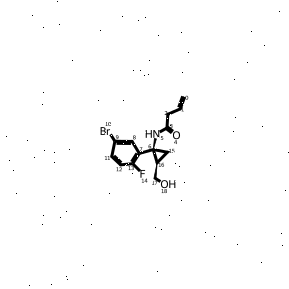 C=CCC(=O)N[C@@]1(c2cc(Br)ccc2F)C[C@H]1CO